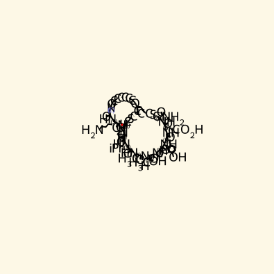 CC(C)C[C@@H]1NC(=O)[C@@H]2CCCN2C(=O)[C@@H]2CSCc3cc(cc(c3)OCCCCCCO/N=C/C(=O)N[C@@H](CCCCN)C(=O)N2)CSC[C@@H](C(N)=O)NC(=O)[C@H](CCC(=O)O)NC(=O)[C@H](Cc2ccc(O)cc2)NC(=O)[C@@H]2CCCN2C(=O)[C@H]([C@@H](C)O)NC(=O)[C@H](C)NC1=O